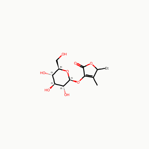 CCC1OC(=O)C(O[C@@H]2O[C@H](CO)[C@@H](O)[C@H](O)[C@H]2O)=C1C